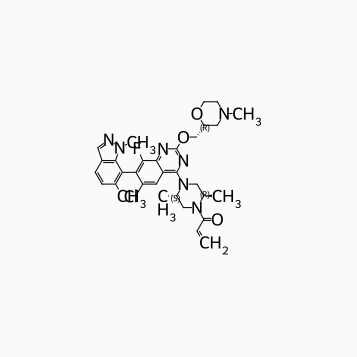 C=CC(=O)N1C[C@H](C)N(c2nc(OC[C@H]3CN(C)CCO3)nc3c(F)c(-c4c(C)ccc5cnn(C)c45)c(Cl)cc23)C[C@H]1C